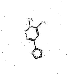 CC1=CC(c2ccco2)=NSN1C